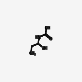 CCC(O)NC(=O)O